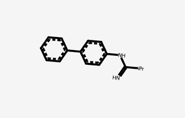 CC(C)C(=N)Nc1ccc(-c2ccccc2)cc1